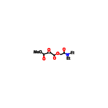 CCN(CC)C(=O)COC(=O)C1OC1C(=O)OC